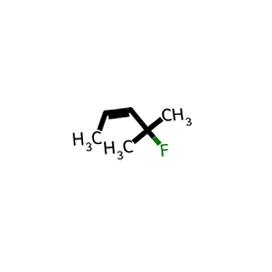 C/C=C\C(C)(C)F